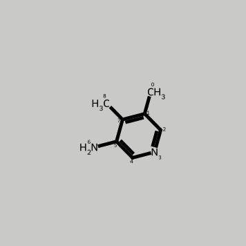 Cc1cncc(N)c1C